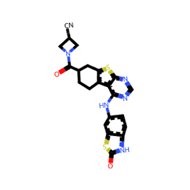 N#CC1CN(C(=O)C2CCc3c(sc4ncnc(Nc5ccc6[nH]c(=O)sc6c5)c34)C2)C1